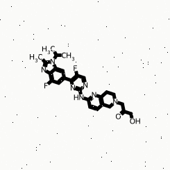 Cc1nc2c(F)cc(-c3nc(Nc4ccc5c(n4)CCN(CC(=O)CO)C5)ncc3F)cc2n1C(C)C